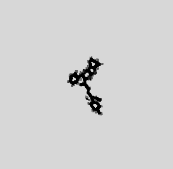 C=C/C(=C\C=C(/C)c1nc2sc3ccccc3c2nc1-c1ccccc1)[C@@]1(C)CC=C(C)CC1